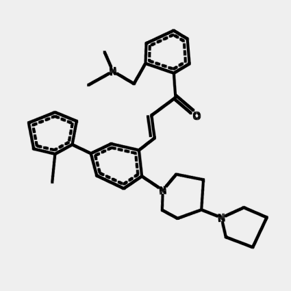 Cc1ccccc1-c1ccc(N2CCC(N3CCCC3)CC2)c(C=CC(=O)c2ccccc2CN(C)C)c1